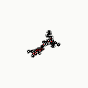 c1ccc(-c2ccc(-c3ccc(N(c4ccc(-c5cc6ccccc6c6c(-c7ccc8oc9c(-c%10cccc(N(c%11ccc(-c%12ccc(-c%13ccccc%13)cc%12-n%12c%13ccccc%13c%13ccccc%13%12)cc%11)c%11ccccc%11-c%11ccccc%11-c%11ccccc%11)c%10)cccc9c8c7)cccc56)cc4)c4cccc(-c5cccc6c5oc5ccccc56)c4)cc3)c(-n3c4ccccc4c4ccccc43)c2)cc1